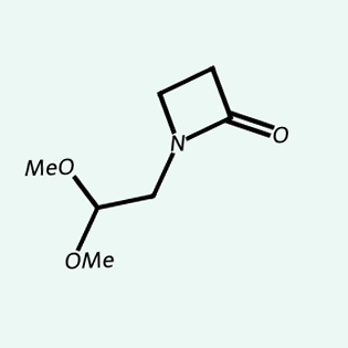 COC(CN1CCC1=O)OC